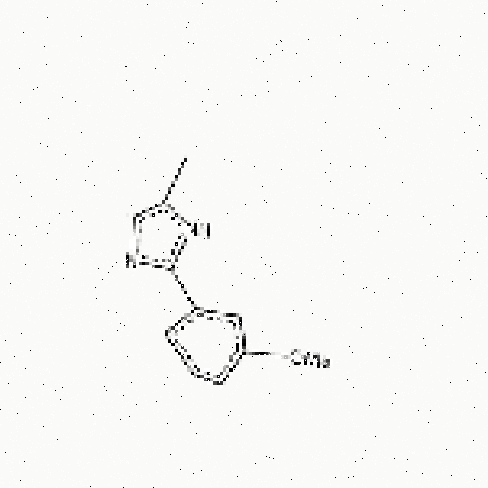 COc1cccc(-c2n[c]c(C)[nH]2)c1